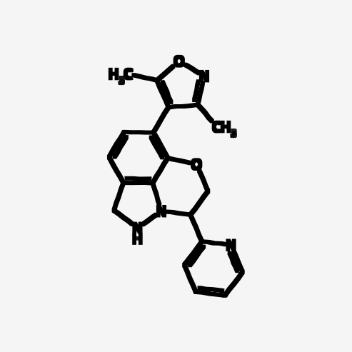 Cc1noc(C)c1-c1ccc2c3c1OCC(c1ccccn1)N3NC2